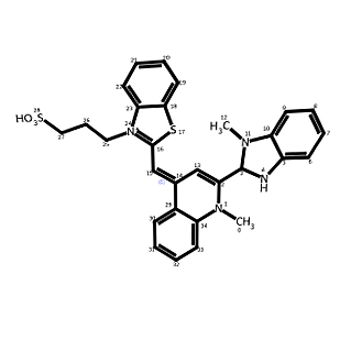 CN1C(C2Nc3ccccc3N2C)=C/C(=C\c2sc3ccccc3[n+]2CCCS(=O)(=O)O)c2ccccc21